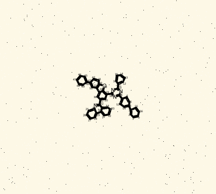 c1ccc(-c2ccc(-c3nc(-c4ccccc4)nc(-c4cc(-c5nc6ccccc6c6ccccc56)cc5c4oc4ccc(-c6ccccc6)cc45)n3)cc2)cc1